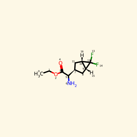 CCOC(=O)C(N)[C@@H]1C[C@@H]2[C@H](C1)C2(F)F